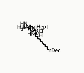 CCCCCCCCCCCCCCCCCCCCCC(=O)NC(CCCNC(=N)N)C(=O)N(CCCCCCC)CCCCCCC.Cl